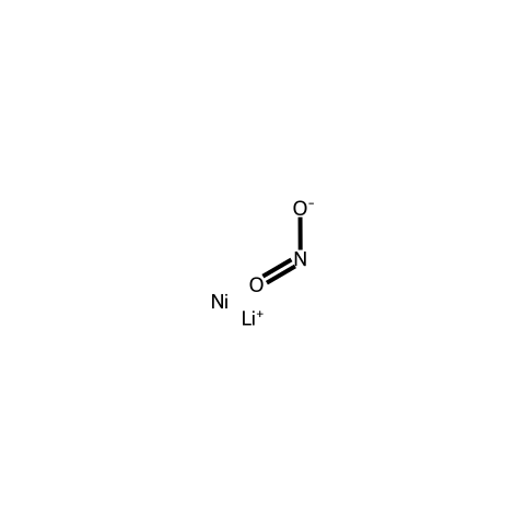 O=N[O-].[Li+].[Ni]